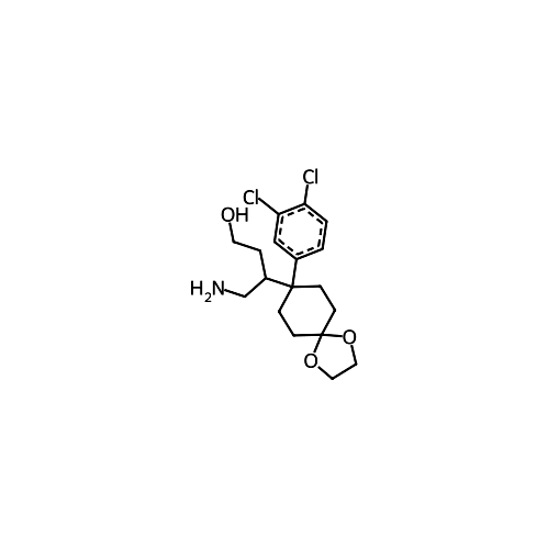 NCC(CCO)C1(c2ccc(Cl)c(Cl)c2)CCC2(CC1)OCCO2